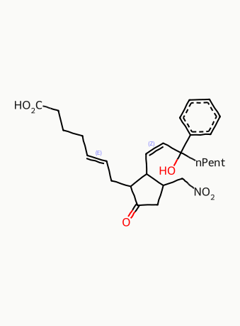 CCCCCC(O)(/C=C\C1C(C[N+](=O)[O-])CC(=O)C1C/C=C/CCCC(=O)O)c1ccccc1